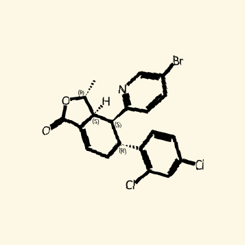 C[C@H]1OC(=O)C2=CC[C@@H](c3ccc(Cl)cc3Cl)[C@H](c3ccc(Br)cn3)[C@@H]21